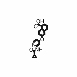 O=C(O)c1cccc2cc(Oc3ccnc(NC(=O)C4CC4)c3)ccc12